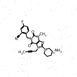 CC#CCn1c(N2CCC[C@@H](N)C2)nc2c1c(=O)n(Cc1ccc(F)cc1C#N)c(=O)n2C